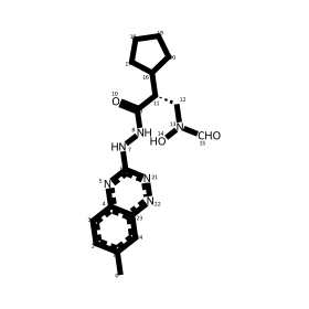 Cc1ccc2nc(NNC(=O)[C@@H](CN(O)C=O)C3CCCC3)nnc2c1